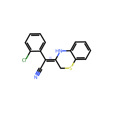 N#C/C(=C1\CSc2ccccc2N1)c1ccccc1Cl